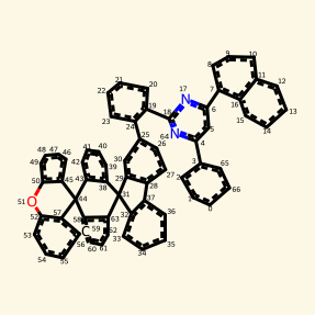 c1ccc(-c2cc(-c3cccc4ccccc34)nc(-c3ccccc3-c3ccc4c(c3)C3(c5ccccc5-4)c4ccccc4C4(c5ccccc5Oc5ccccc54)c4ccccc43)n2)cc1